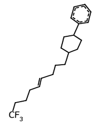 FC(F)(F)CCCC=CCCCC1CCC(c2ccccc2)CC1